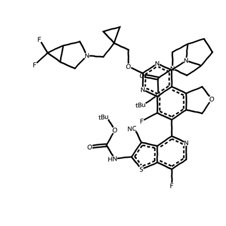 CC(C)(C)OC(=O)Nc1sc2c(F)cnc(-c3c4c(c5c(N6C7CCC6CN(C(=O)OC(C)(C)C)C7)nc(OCC6(CN7CC8C(C7)C8(F)F)CC6)nc5c3F)COC4)c2c1C#N